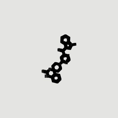 Cn1cc(C(=O)c2cc(N3CCC4(CC3)OC(=O)Nc3ccccc34)ncn2)c2ccccc21